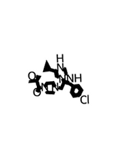 O=C(C1COC1)N1CCN(CC2=C(c3ccc(Cl)cc3)NC3CNC(C4CC4)=CN23)CC1